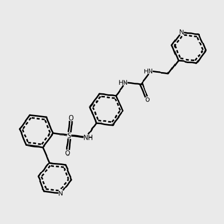 O=C(NCc1cccnc1)Nc1ccc(NS(=O)(=O)c2ccccc2-c2ccncc2)cc1